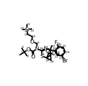 CC(C)(C)OC(=O)N(COCC[Si](C)(C)C)C1=NC(C)(c2cc(Br)ccc2F)C2CC2(C(=O)O)S1